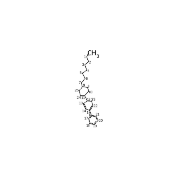 CCCCCCCCC1CCC(C2C=CC(c3ccccc3)=CC2)CC1